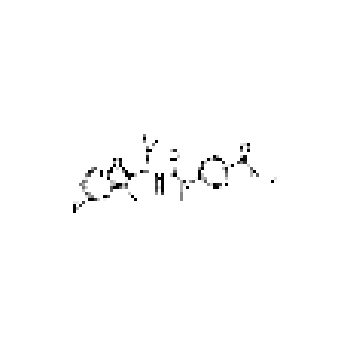 Cc1c([C@@H](NC(=O)Nc2ccc(C(N)=O)cc2)C2CC2)oc2ccc(F)cc12